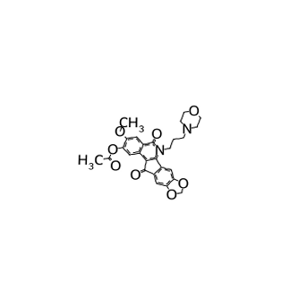 COc1cc2c(=O)n(CCCN3CCOCC3)c3c(c2cc1OC(C)=O)C(=O)c1cc2c(cc1-3)OCO2